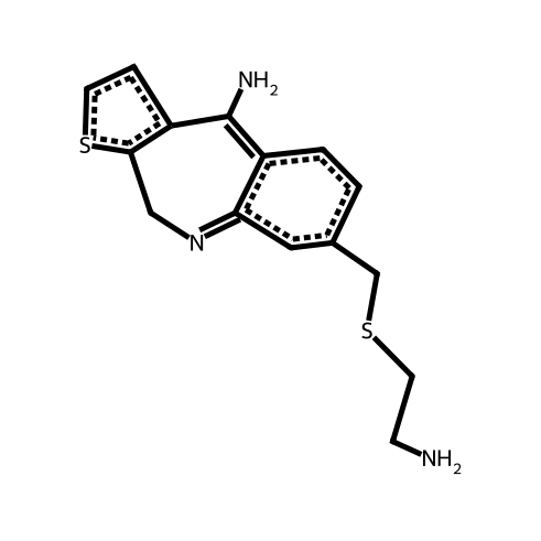 NCCSCc1ccc2c(c1)=NCc1sccc1C=2N